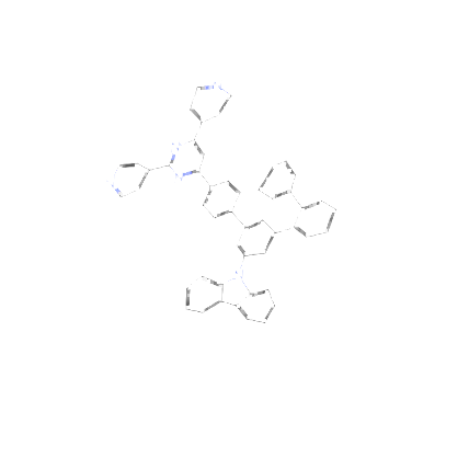 c1ccc(-c2ccccc2-c2cc(-c3ccc(-c4cc(-c5ccncc5)nc(-c5ccncc5)n4)cc3)cc(-n3c4ccccc4c4ccccc43)c2)cc1